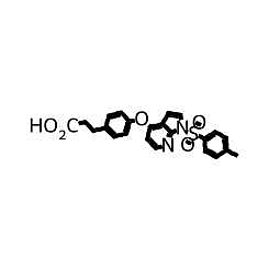 Cc1ccc(S(=O)(=O)n2ccc3c(Oc4ccc(CCC(=O)O)cc4)ccnc32)cc1